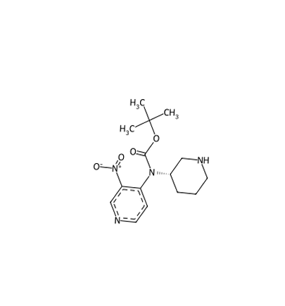 CC(C)(C)OC(=O)N(c1ccncc1[N+](=O)[O-])[C@H]1CCCNC1